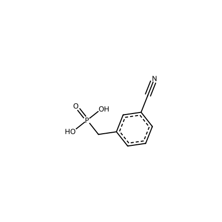 N#Cc1cccc(CP(=O)(O)O)c1